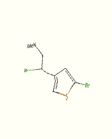 CNCC(Br)c1csc(Br)c1